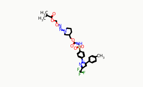 Cc1ccc(-c2cc(C(F)(F)F)nn2-c2ccc(S(=O)(=O)NC(=O)OCC3CCCN(N=NOCOC(=O)C(C)C)C3)cc2)cc1